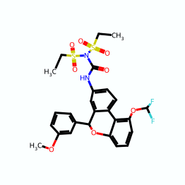 CCS(=O)(=O)N(C(=O)Nc1ccc2c(c1)C(c1cccc(OC)c1)Oc1cccc(OC(F)F)c1-2)S(=O)(=O)CC